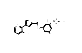 CS(=O)(=O)Nc1cc(Cl)cc(NC(=O)c2cc(-c3ncccc3C(F)(F)F)cs2)c1